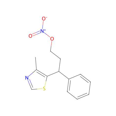 Cc1ncsc1C(CCO[N+](=O)[O-])c1ccccc1